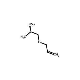 C=CCOC[C@@H](C)NC